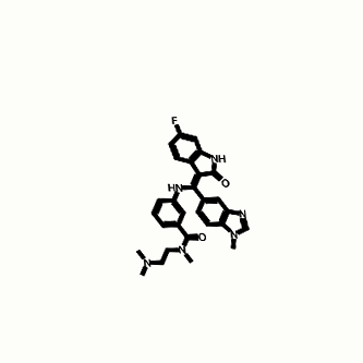 CN(C)CCN(C)C(=O)c1cccc(NC(=C2C(=O)Nc3cc(F)ccc32)c2ccc3c(c2)ncn3C)c1